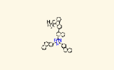 CC1(C)c2ccccc2-c2ccc(-c3ccc(-c4nc(-c5ccc6c(ccc7ccccc76)c5)nc(-c5ccc6c(ccc7ccccc76)c5)n4)c4ccccc34)cc21